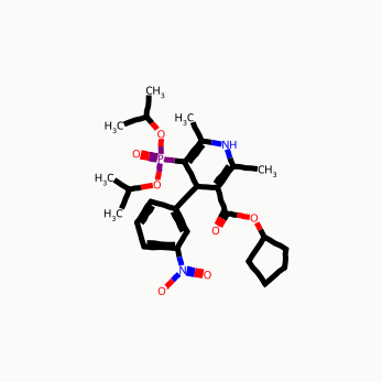 CC1=C(C(=O)OC2CCCC2)C(c2cccc([N+](=O)[O-])c2)C(P(=O)(OC(C)C)OC(C)C)=C(C)N1